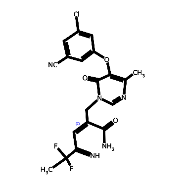 Cc1ncn(C/C(=C/C(=N)C(C)(F)F)C(N)=O)c(=O)c1Oc1cc(Cl)cc(C#N)c1